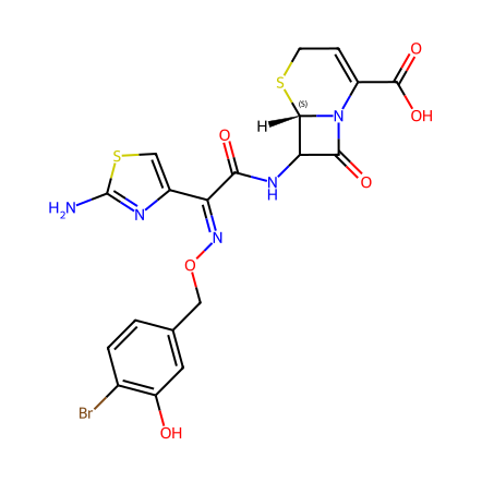 Nc1nc(C(=NOCc2ccc(Br)c(O)c2)C(=O)NC2C(=O)N3C(C(=O)O)=CCS[C@@H]23)cs1